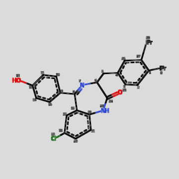 CC(C)c1ccc(CC2N=C(c3ccc(O)cc3)c3cc(Cl)ccc3NC2=O)cc1C(C)C